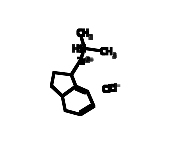 C[SiH](C)[Zr+2][CH]1CCC2CC=CC=C21.[Cl-].[Cl-]